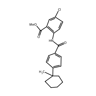 COC(=O)c1cc(Cl)ccc1NC(=O)c1ccc(C2(C)CCCCC2)cc1